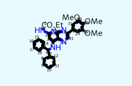 CCOC(=O)Nc1cc(NC(c2ccccc2)c2ccccc2)c2ncc(-c3cc(OC)c(OC)c(OC)c3)nc2n1